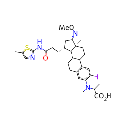 CO/N=C1\C[C@@H](CCC(=O)Nc2ncc(C)s2)C2C3CCc4cc(N(C)C(C)C(=O)O)c(I)cc4C3CC[C@]12C